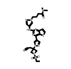 CCS(=O)(=O)N1CC(CC#N)(n2cc(-c3nc(Nc4cnn(CCCC(=O)N(C)C)c4)nc4ccsc34)cn2)C1